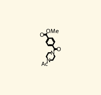 COC(=O)c1ccc(C(=O)N2CCN(C(C)=O)CC2)cc1